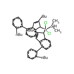 CCCCc1ccccc1-c1cccc2c1C=C(C(C)CC)[CH]2[Zr]([Cl])([Cl])([CH]1C(C(C)CC)=Cc2c(-c3ccccc3CCCC)cccc21)[SiH](C)C